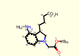 CC(C)(C)OC(=O)CN1CC(CCCC(=O)O)c2c(N)cccc21.[LiH]